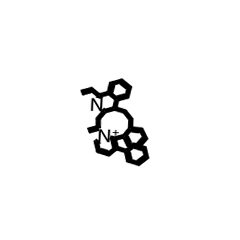 C=CC1=NC2CC(=C)[n+]3cccc(-c4ccccc4)c3-c3ccccc3CCC2c2ccccc21